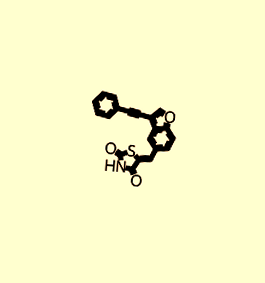 O=C1NC(=O)C(=Cc2ccc3occ(C#Cc4ccccc4)c3c2)S1